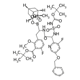 COc1c(CC(NC(=O)C(NS(=O)(=O)NC(=O)OC(C)(C)C)c2ncc(OCc3ccccc3)cc2F)B2O[C@@H]3C[C@@H]4C[C@@H](C4(C)C)[C@]3(C)O2)ccc(F)c1C(=O)OC(C)(C)C